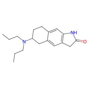 CCCN(CCC)C1CCc2cc3c(cc2C1)CC(=O)N3